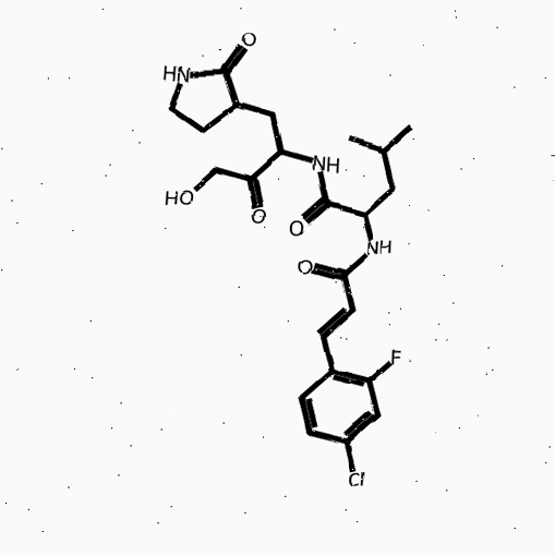 CC(C)CC(NC(=O)/C=C/c1ccc(Cl)cc1F)C(=O)NC(CC1CCNC1=O)C(=O)CO